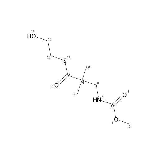 COC(=O)NCC(C)(C)C(=O)SCCO